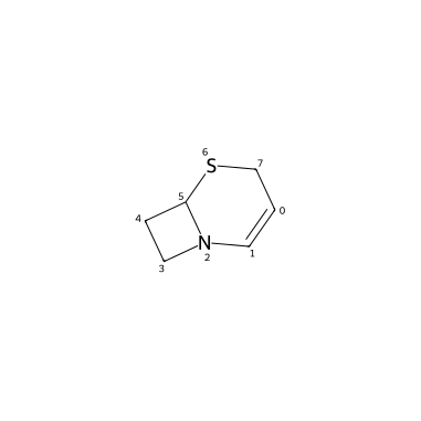 C1=CN2CCC2SC1